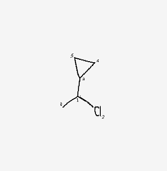 C[C](Cl)C1CC1